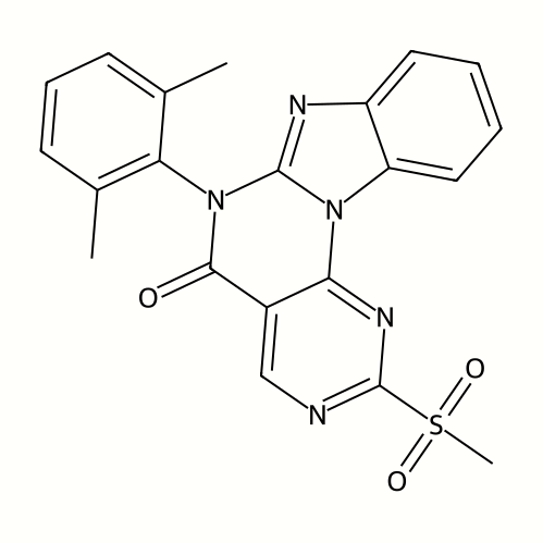 Cc1cccc(C)c1-n1c(=O)c2cnc(S(C)(=O)=O)nc2n2c3ccccc3nc12